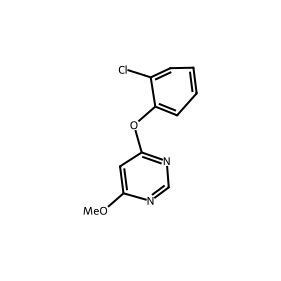 COc1cc(Oc2ccccc2Cl)ncn1